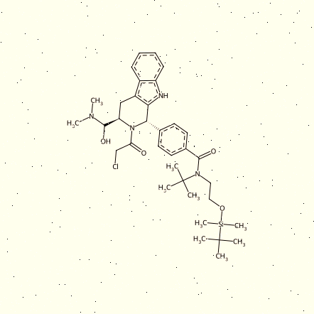 CN(C)C(O)[C@H]1Cc2c([nH]c3ccccc23)[C@H](c2ccc(C(=O)N(CCO[Si](C)(C)C(C)(C)C)C(C)(C)C)cc2)N1C(=O)CCl